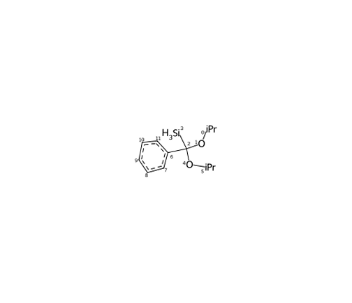 CC(C)OC([SiH3])(OC(C)C)c1ccccc1